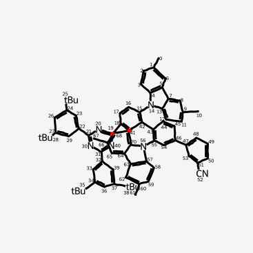 Cc1ccc2c(c1)c1cc(C)ccc1n2-c1ccc(-c2nc(-c3cc(C(C)(C)C)cc(C(C)(C)C)c3)nc(-c3cc(C(C)(C)C)cc(C(C)(C)C)c3)n2)cc1-c1ccc(-c2cccc(C#N)c2)cc1-n1c2ccc(C)cc2c2cc(C)ccc21